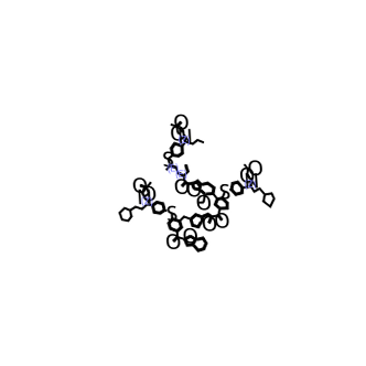 C=C/C(=C\C=C(/C)Sc1ccc(/C(CCC)=N\OC(C)=O)cc1)C(=O)c1cc2ccc(-c3cc(C(=O)c4cc5cc(Cc6cc(C(=O)c7cc8ccccc8o7)ccc6Sc6ccc(/C(CCC7CCCCC7)=N\OC(C)=O)cc6)ccc5o4)ccc3Sc3ccc(/C(CCC4CCCC4)=N\OC(C)=O)cc3)c(OC)c2o1